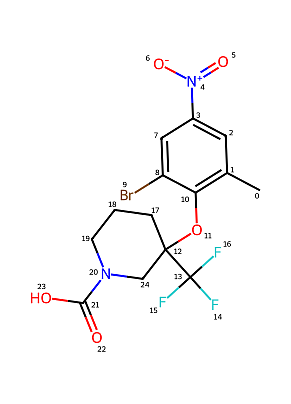 Cc1cc([N+](=O)[O-])cc(Br)c1OC1(C(F)(F)F)CCCN(C(=O)O)C1